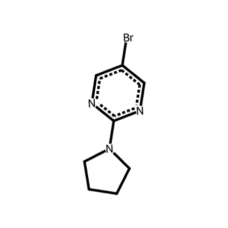 Brc1cnc(N2CCCC2)nc1